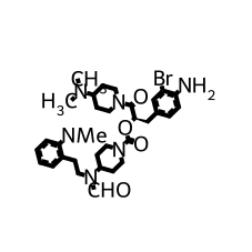 CNc1ccccc1CCN(C=O)C1CCN(C(=O)O[C@H](Cc2ccc(N)c(Br)c2)C(=O)N2CCC(N(C)C)CC2)CC1